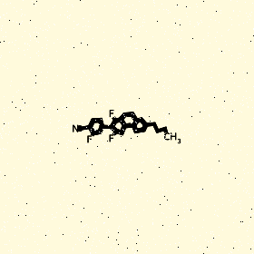 CCCCc1ccc2c(ccc3c(F)c(-c4ccc(C#N)c(F)c4)c(F)cc32)c1